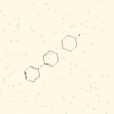 CCCCCCCCC[C@H]1CC[C@H](C2C=CC(c3ccccc3)=CC2)CC1